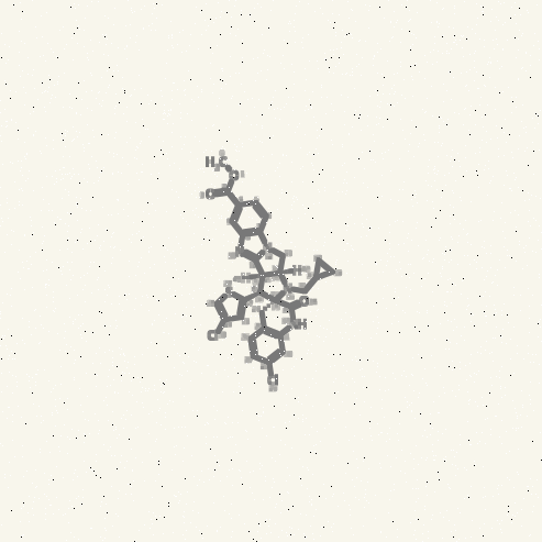 COC(=O)c1ccc2c(c1)nc1n2C[C@H]2[C@@H]1[C@H](c1cc(Cl)cs1)[C@@]1(Cc3ccc(Cl)cc3NC1=O)N2CC1CC1